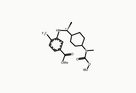 COC(=O)c1ccc(C(F)(F)F)c(N[C@@H](C)C2CCC(N(C)C(=O)OC(C)(C)C)CC2)c1